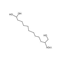 CCCCCCCCC(CO)CCCCCCCCCC(O)O